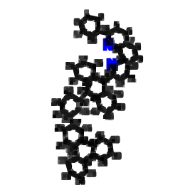 c1ccc(-c2ccc3ccc4ccc(-c5c6ccccc6c(-c6cccc(-c7ccc8c9ccccc9c9ccccc9c8c7)c6)c6ccccc56)nc4c3n2)cc1